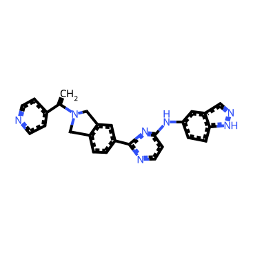 C=C(c1ccncc1)N1Cc2ccc(-c3nccc(Nc4ccc5[nH]ncc5c4)n3)cc2C1